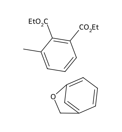 CCOC(=O)c1cccc(C)c1C(=O)OCC.c1cc2cc(c1)OC2